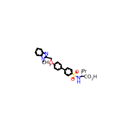 CC(C)[C@@H](NS(=O)(=O)c1ccc(-c2ccc(OCc3nc4ccccc4n3C)cc2)cc1)C(=O)O